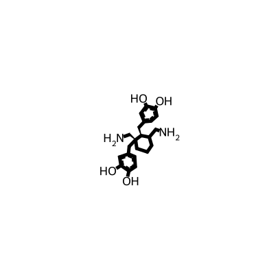 NCC1CCC[C@](CN)(Cc2ccc(O)c(O)c2)[C@H]1Cc1ccc(O)c(O)c1